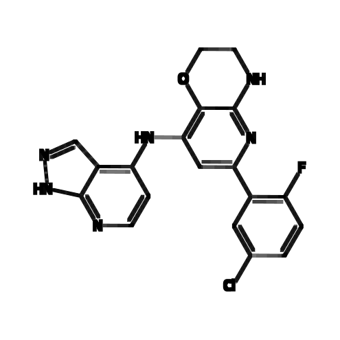 Fc1ccc(Cl)cc1-c1cc(Nc2ccnc3[nH]ncc23)c2c(n1)NCCO2